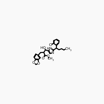 CCCCC(c1ncc(C(O)C(Cc2ccc3c(c2)OCO3)C(=O)OC)[nH]1)c1ccccc1Cl